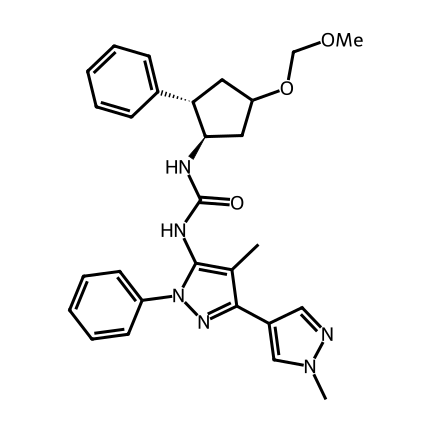 COCOC1C[C@@H](NC(=O)Nc2c(C)c(-c3cnn(C)c3)nn2-c2ccccc2)[C@H](c2ccccc2)C1